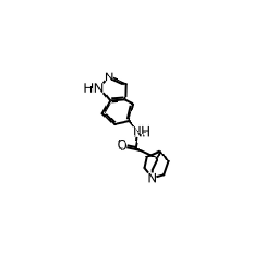 O=C(Nc1ccc2[nH]ncc2c1)C1CN2CCC1CC2